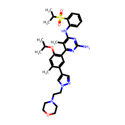 Cc1cc(OC(C)C)c(-c2nc(N)nc(Nc3ccccc3S(=O)(=O)C(C)C)c2C)cc1-c1cnn(CCN2CCOCC2)c1